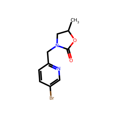 CC1CN(Cc2ccc(Br)cn2)C(=O)O1